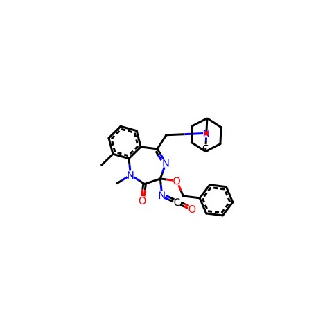 Cc1cccc2c1N(C)C(=O)C(N=C=O)(OCc1ccccc1)N=C2CN1CC2CCC(CC2)C1